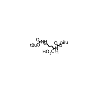 CCCCOC(=O)NC(CCCCNC(=O)OC(C)(C)C)C(=O)O